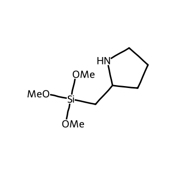 CO[Si](CC1CCCN1)(OC)OC